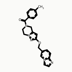 Cc1ccc(C(=O)N2CCn3nc(OCc4ccc5nccn5c4)cc3C2)cc1